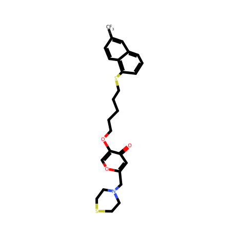 O=c1cc(CN2CCSCC2)occ1OCCCCCSc1cccc2cc(C(F)(F)F)ccc12